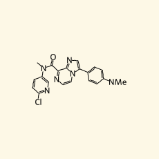 CNc1ccc(-c2cnc3c(C(=O)N(C)c4ccc(Cl)nc4)nccn23)cc1